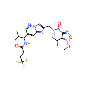 CO[n+]1onc(C(=O)NCc2cn3ncc(C(NC(=O)CCC(F)(F)F)C(C)C)cc3n2)c1C(C)C